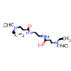 C=CN(C=O)CCC(=O)NCCNC(O)CCN(C=C)C=O